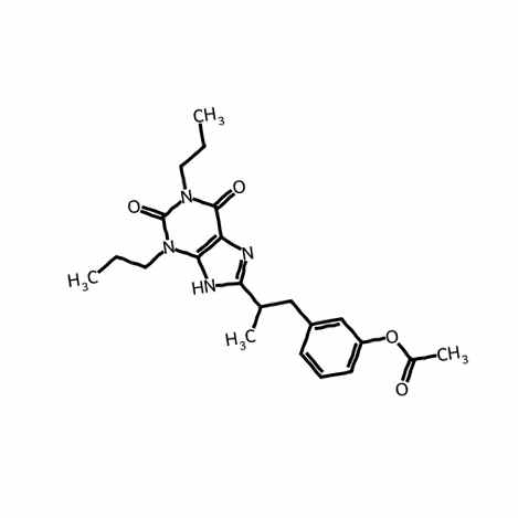 CCCn1c(=O)c2nc(C(C)Cc3cccc(OC(C)=O)c3)[nH]c2n(CCC)c1=O